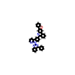 c1ccc(-c2nc(-n3c4ccc(-c5nc6cc7c(cc6c6ccccc56)oc5ccccc57)cc4c4cccnc43)nc3ccccc23)cc1